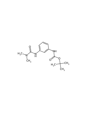 CN(C)C(=O)Nc1cccc(NC(=O)OC(C)(C)C)c1